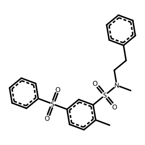 Cc1ccc(S(=O)(=O)c2ccccc2)cc1S(=O)(=O)N(C)CCc1ccccc1